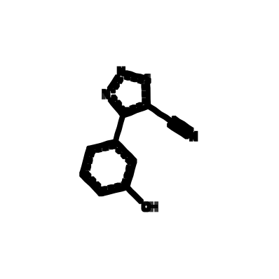 N#Cc1snnc1-c1cccc(O)c1